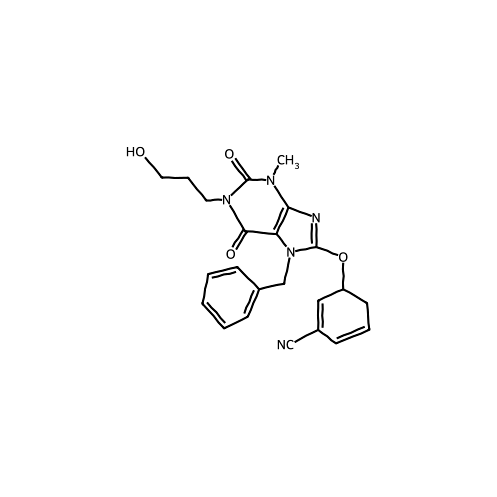 Cn1c(=O)n(CCCO)c(=O)c2c1nc(OC1C=C(C#N)C=CC1)n2Cc1ccccc1